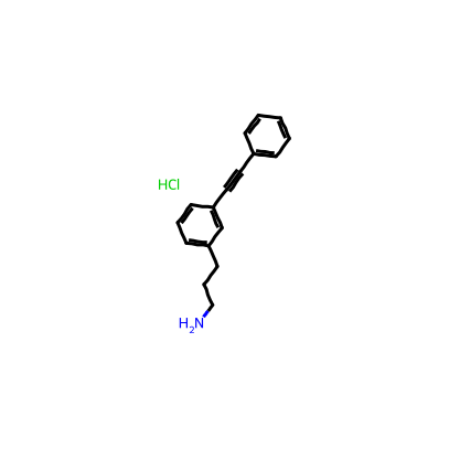 Cl.NCCCc1cccc(C#Cc2ccccc2)c1